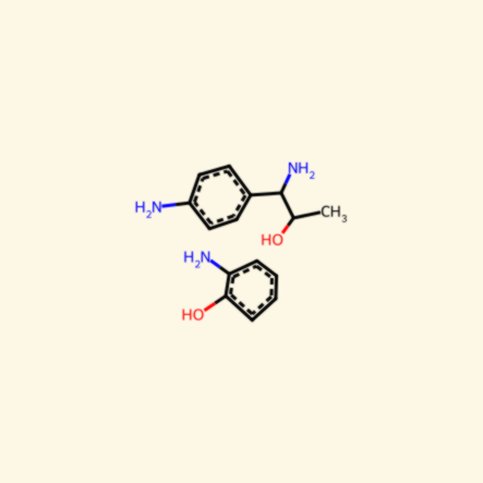 CC(O)C(N)c1ccc(N)cc1.Nc1ccccc1O